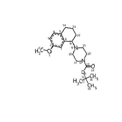 COc1ccc2c(c1)C(N1CCN(C(=O)OC(C)(C)C)CC1)CCC2